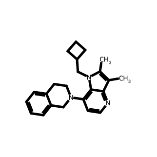 Cc1c(C)n(CC2CCC2)c2c(N3CCc4ccccc4C3)ccnc12